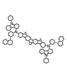 c1ccc(-n2c3ccccc3c3c(N(c4cccc(-c5cccc6ccccc56)c4)c4ccc5c(c4)sc4cc6c(cc45)oc4cc5c(cc46)sc4cc(N(c6cccc(-c7cccc8ccccc78)c6)c6cccc7c6c6ccccc6n7-c6ccccc6)ccc45)cccc32)cc1